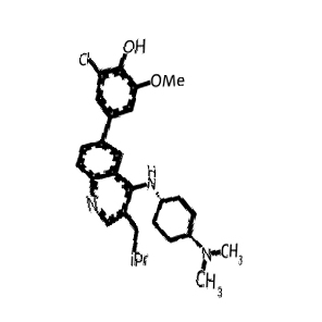 COc1cc(-c2ccc3ncc(CC(C)C)c(N[C@H]4CC[C@H](N(C)C)CC4)c3c2)cc(Cl)c1O